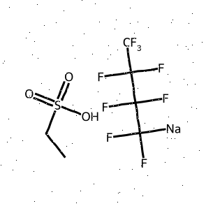 CCS(=O)(=O)O.FC(F)(F)C(F)(F)C(F)(F)[C](F)(F)[Na]